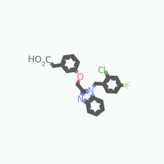 O=C(O)Cc1cccc(OCc2nc3ccccc3n2Cc2ccc(F)cc2Cl)c1